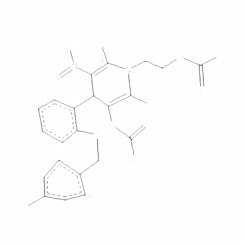 CC(=O)OCCN1C(C)=C(SC(=O)O)C(c2ccccc2OCc2ccc(C)cc2)C([N+](=O)[O-])=C1C